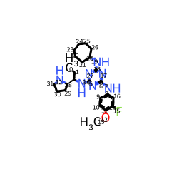 CCC(Nc1nc(Nc2ccc(OC)c(F)c2)nc(NC2CCCCCC2)n1)[C@H]1CCCN1